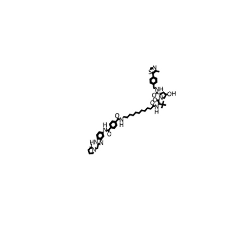 Cc1ncsc1-c1ccc(CNC(=O)[C@@H]2C[C@@H](O)CN2C(=O)[C@@H](NC(=O)CCCCCCCCCCNC(=O)c2ccc(C(=O)Nc3ccc4[nH]c(CN5CCC[C@H]5C)nc4c3)cc2)C(C)(C)C)cc1